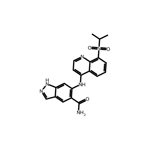 CC(C)S(=O)(=O)c1cccc2c(Nc3cc4[nH]ncc4cc3C(N)=O)ccnc12